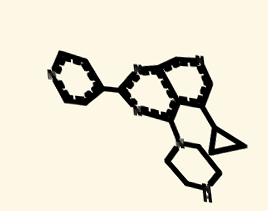 c1cc(-c2nc(N3CCNCC3)c3c(C4CC4)cncc3n2)ccn1